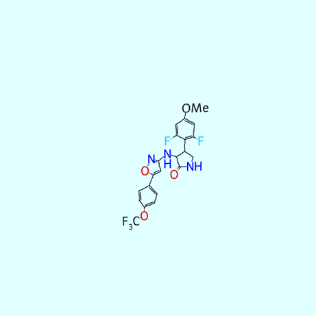 COc1cc(F)c(C2CNC(=O)C2Nc2cc(-c3ccc(OC(F)(F)F)cc3)on2)c(F)c1